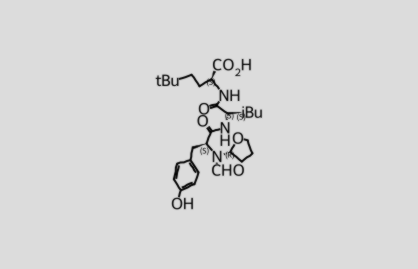 CC[C@H](C)[C@H](NC(=O)[C@H](Cc1ccc(O)cc1)N(C=O)[C@H]1CCCO1)C(=O)N[C@@H](CCC(C)(C)C)C(=O)O